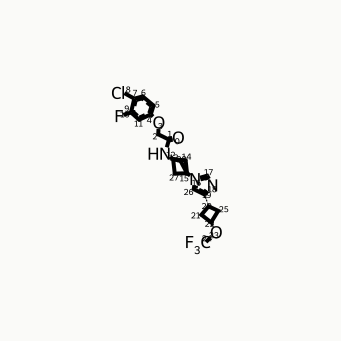 O=C(COc1ccc(Cl)c(F)c1)NC12CC(n3cnc([C@H]4C[C@H](OC(F)(F)F)C4)c3)(C1)C2